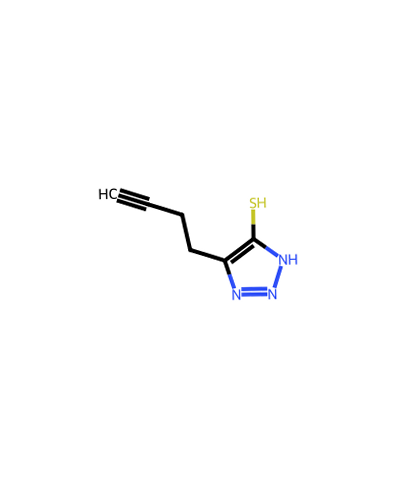 C#CCCc1nn[nH]c1S